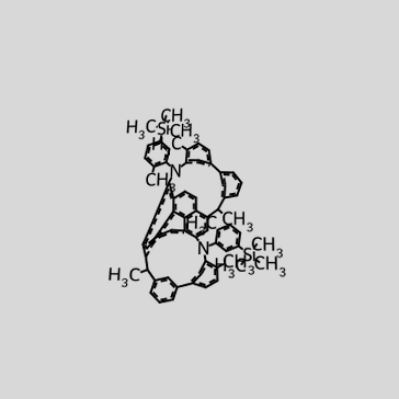 Cc1ccc2cc1N(c1cc([Si](C)(C)C)ccc1C)c1cc3c4ccc5c(cc(c6ccc1c4c65)C(C)c1cccc-2c1)N(c1cc([Si](C)(C)C)ccc1C)c1cc(ccc1C)-c1cccc(c1)C3C